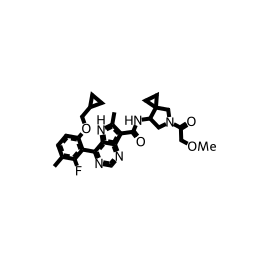 COCC(=O)N1CC(NC(=O)c2c(C)[nH]c3c(-c4c(OCC5CC5)ccc(C)c4F)ncnc23)C2(CC2)C1